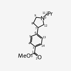 COC(=O)c1ccc(C2CCN(C(C)C)C2)cc1